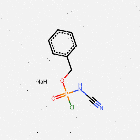 N#CNP(=O)(Cl)OCc1ccccc1.[NaH]